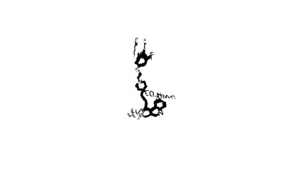 COc1ccc2ncc(CN)c(C(O)CCC3(C(=O)O)CCN(CCSc4cc(F)c(F)c(F)c4)CC3)c2c1